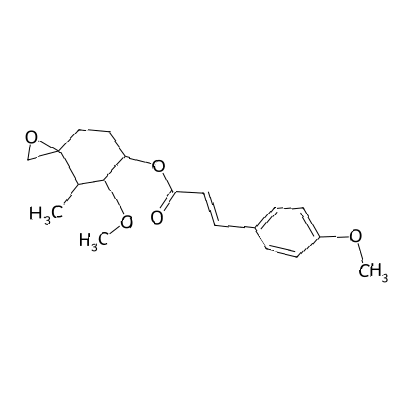 COc1ccc(C=CC(=O)OC2CCC3(CO3)C(C)C2OC)cc1